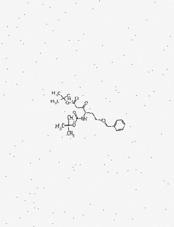 CC(C)(C)OC(=O)CC(=O)C(CCOCc1ccccc1)NC(=O)OC(C)(C)C